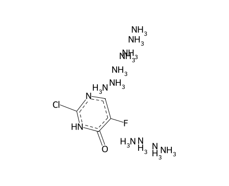 N.N.N.N.N.N.N.N.N.N.N.O=c1[nH]c(Cl)ncc1F